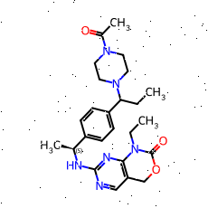 CCC(c1ccc([C@H](C)Nc2ncc3c(n2)N(CC)C(=O)OC3)cc1)N1CCN(C(C)=O)CC1